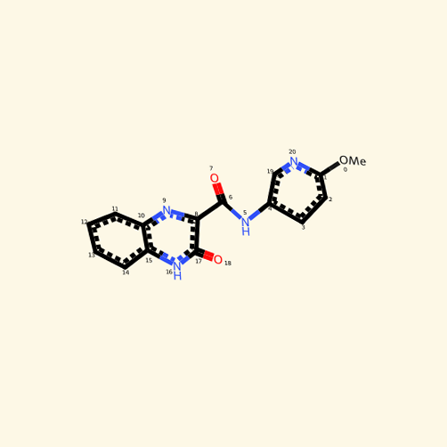 COc1ccc(NC(=O)c2nc3ccccc3[nH]c2=O)cn1